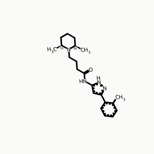 Cc1ccccc1-c1cc(NC(=O)CCCN2[C@H](C)CCC[C@@H]2C)[nH]n1